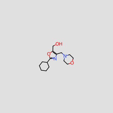 OCc1oc(C2CCCCC2)nc1CN1CCOCC1